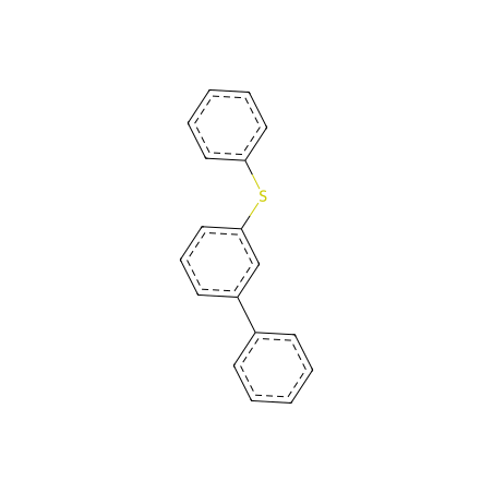 c1ccc(Sc2cccc(-c3ccccc3)c2)cc1